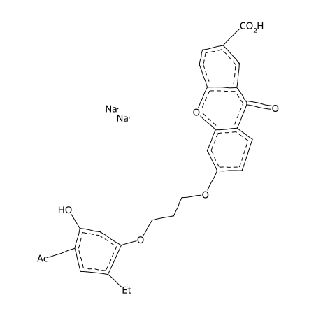 CCc1cc(C(C)=O)c(O)cc1OCCCOc1ccc2c(=O)c3cc(C(=O)O)ccc3oc2c1.[Na].[Na]